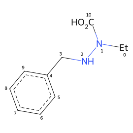 CCN(NCc1ccccc1)C(=O)O